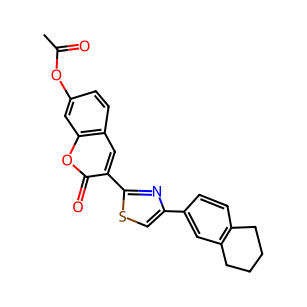 CC(=O)Oc1ccc2cc(-c3nc(-c4ccc5c(c4)CCCC5)cs3)c(=O)oc2c1